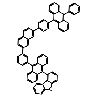 c1ccc(-c2c3ccccc3c(-c3ccc(-c4ccc5ccc(-c6cccc(-c7c8ccccc8c(-c8cccc9oc%10ccccc%10c89)c8ccccc78)c6)cc5c4)cc3)c3ccccc23)cc1